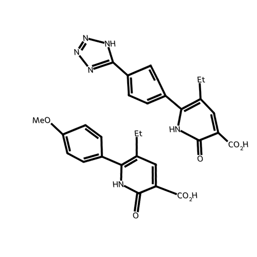 CCc1cc(C(=O)O)c(=O)[nH]c1-c1ccc(-c2nnn[nH]2)cc1.CCc1cc(C(=O)O)c(=O)[nH]c1-c1ccc(OC)cc1